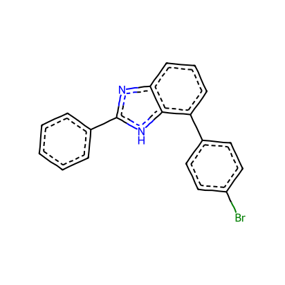 Brc1ccc(-c2cccc3nc(-c4ccccc4)[nH]c23)cc1